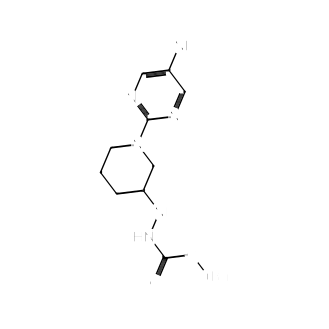 CC(C)(C)OC(=O)NNC1CCCN(c2ncc(N)cn2)C1